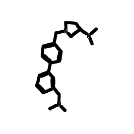 CN(C)Cc1cccc(-c2ccc(CN3CCC(N(C)C)C3)cc2)c1